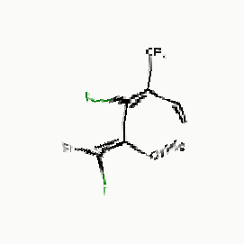 C=C/C(=C(F)\C(OC)=C(\F)CC)C(F)(F)F